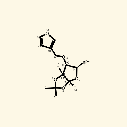 CCC[C@H]1O[C@@H]2OC(C)(C)O[C@@H]2[C@H]1OCc1ccoc1